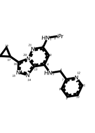 CC(C)Nc1cc(NCc2ccccn2)c2nnc(C3CC3)n2n1